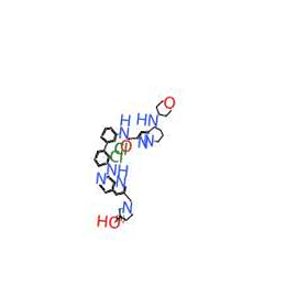 O=C(Nc1cccc(-c2cccc(Nc3nccc4cc(CN5CC[C@@H](O)C5)cnc34)c2Cl)c1Cl)c1cc2n(n1)CCCC2NC1CCOCC1